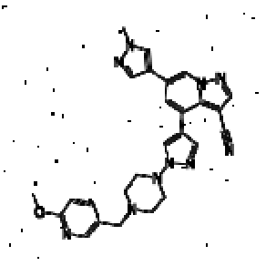 COc1ccc(CN2CCN(n3cc(-c4cc(-c5cnn(C)c5)cn5ncc(C#N)c45)cn3)CC2)cn1